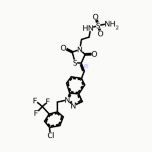 NS(=O)(=O)NCCN1C(=O)S/C(=C\c2ccc3c(cnn3Cc3ccc(Cl)cc3C(F)(F)F)c2)C1=O